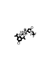 CC(C)c1cc(Cl)cc(C(C)C)c1NC(=O)NS(=O)(=O)C1CC(=O)N(CC(F)(F)F)C1